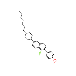 CCCCCCCC1CCC(c2ccc3c(F)c(-c4ccc(OC)cc4)ccc3c2)CC1